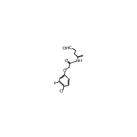 C=C(CCC=O)NC(=O)COc1ccc(Cl)c(F)c1